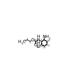 CCCOC(=O)Nc1c(N)cccc1O